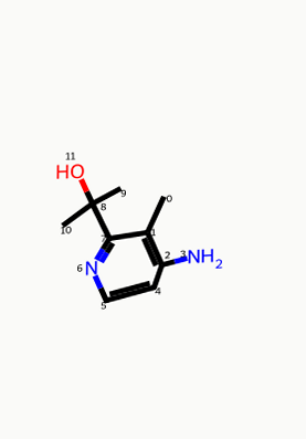 Cc1c(N)ccnc1C(C)(C)O